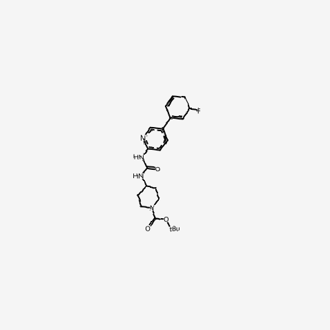 CC(C)(C)OC(=O)N1CCC(NC(=O)Nc2ccc(C3=CC(F)CC=C3)cn2)CC1